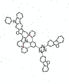 c1ccc(-c2cc(-c3nc(-c4ccc5c(c4)oc4ccccc45)nc(-c4ccc5c(c4)oc4ccccc45)n3)cc(-c3ccccc3)c2-n2c3ccccc3c3c4oc5cc6c(cc5c4ccc32)c2ccccc2n6-c2ccccc2)cc1